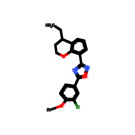 CC(C)Oc1ccc(-c2nc(-c3cccc4c3OCCC4CC(=O)O)no2)cc1Cl